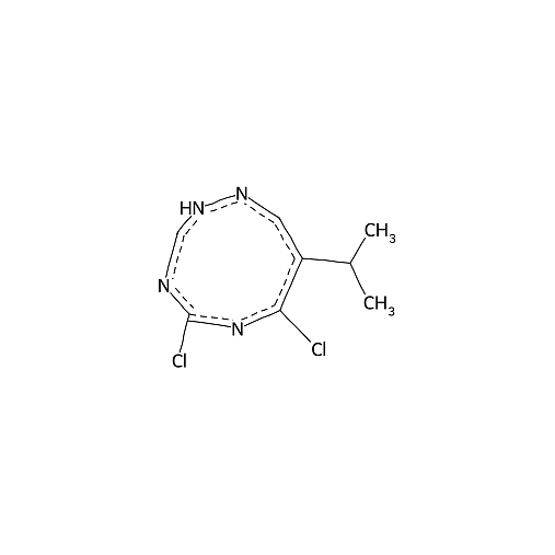 CC(C)c1cn[nH]cnc(Cl)nc1Cl